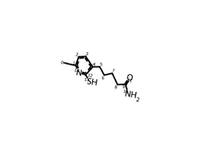 Cc1ccc(CCCCC(N)=O)c(S)n1